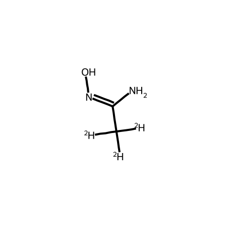 [2H]C([2H])([2H])C(N)=NO